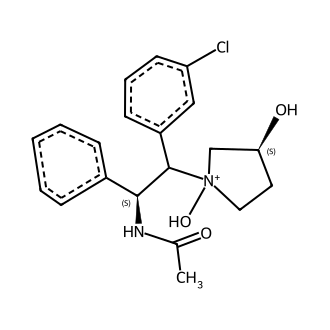 CC(=O)N[C@@H](c1ccccc1)C(c1cccc(Cl)c1)[N+]1(O)CC[C@H](O)C1